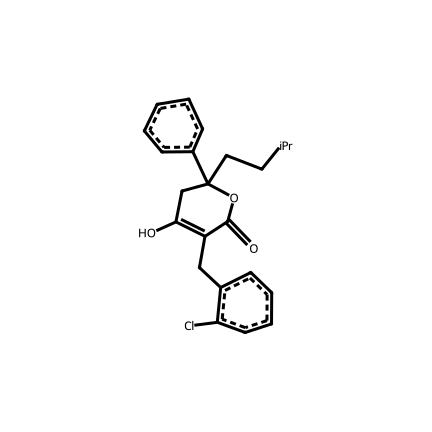 CC(C)CCC1(c2ccccc2)CC(O)=C(Cc2ccccc2Cl)C(=O)O1